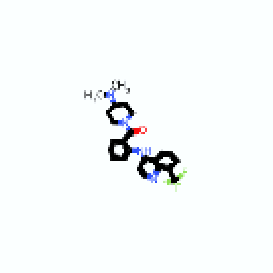 CN(C)C1CCN(C(=O)c2ccccc2Nc2ccnc3c(C(F)(F)F)cccc23)CC1